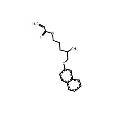 C=CC(=O)OCCCC(C)COc1ccc2ccccc2c1